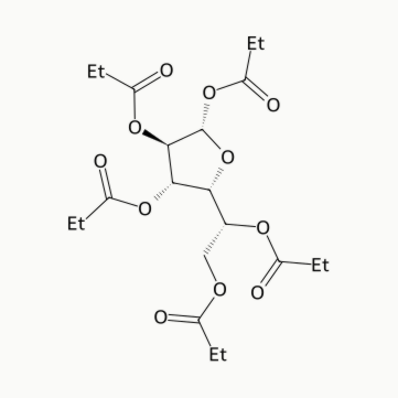 CCC(=O)OC[C@@H](OC(=O)CC)[C@H]1O[C@@H](OC(=O)CC)[C@H](OC(=O)CC)[C@H]1OC(=O)CC